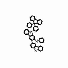 c1ccc(-n2c3cc4c(cc3c3ccc5sc6ccccc6c5c32)c2ccccc2n4-c2cccc(C3(c4ccccc4)c4ccccc4-c4ccccc43)c2)cc1